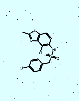 Cc1nc2c(Cl)c(NS(=O)(=O)Cc3ccc(Cl)cc3)ccc2s1